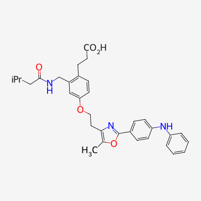 Cc1oc(-c2ccc(Nc3ccccc3)cc2)nc1CCOc1ccc(CCC(=O)O)c(CNC(=O)CC(C)C)c1